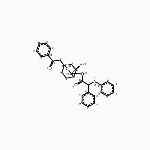 O=C(C[N+]12CCC(CC1)[C@@H](OC(=O)C(Nc1ccccc1)c1ccccc1)C2)c1ccccc1